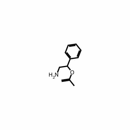 C=C(C)OC(CN)c1ccccc1